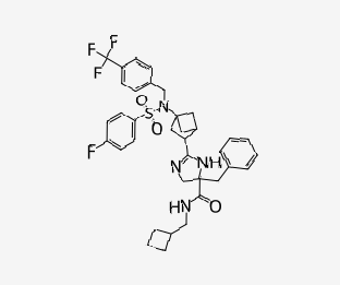 O=C(NCC1CCC1)C1(Cc2ccccc2)CN=C(C2CC3(N(Cc4ccc(C(F)(F)F)cc4)S(=O)(=O)c4ccc(F)cc4)CC2C3)N1